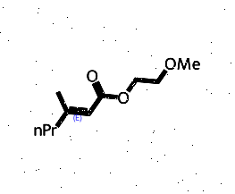 CCC/C(C)=C/C(=O)OCCOC